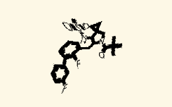 CC(C)(C)C(=O)N1CC2(CC2)C(NS(C)(=O)=O)C1Cc1cccc(-c2cccc(F)c2)c1F